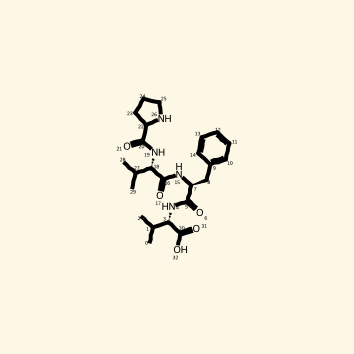 CC(C)[C@H](NC(=O)[C@H](Cc1ccccc1)NC(=O)[C@@H](NC(=O)C1CCCN1)C(C)C)C(=O)O